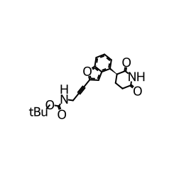 CC(C)(C)OC(=O)NCC#Cc1cc2c([C@@H]3CCC(=O)NC3=O)cccc2o1